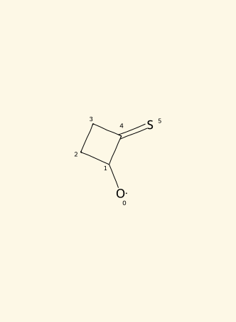 [O]C1CCC1=S